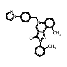 Cc1ccccc1-n1nc2c3c(C)cccc3n(Cc3ccc(-n4cccn4)cc3)cc-2c1=O